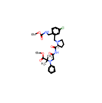 CC(C)(C)OC(=O)NCc1ccc(Cl)cc1CN1CCC[C@H]1C(=O)NC(=O)CN(c1ccccc1)C(C)(C)C(=O)OC(C)(C)C